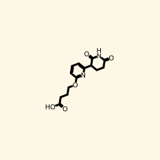 O=C(O)CCCOc1cccc(C2CCC(=O)NC2=O)n1